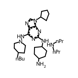 CCCCC1CCN(Nc2nc(NC3CCC(N)CC3)nc3c2ncn3C2CCCC2)CC1.CCCNCCC